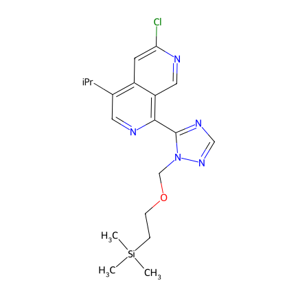 CC(C)c1cnc(-c2ncnn2COCC[Si](C)(C)C)c2cnc(Cl)cc12